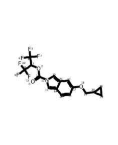 O=C(OC(C(F)(F)F)C(F)(F)F)n1cc2ccc(OCC3CC3)cc2c1